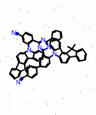 CC1(C)c2ccccc2-c2ccc3c(c21)c1ccccc1n3-c1ccc(-c2ccc(C#N)cc2)cc1-c1nc(-c2ccccc2)nc(-c2ccc(C#N)cc2-n2c3ccccc3c3c4c(ccc32)-c2ccccc2C4(C)C)n1